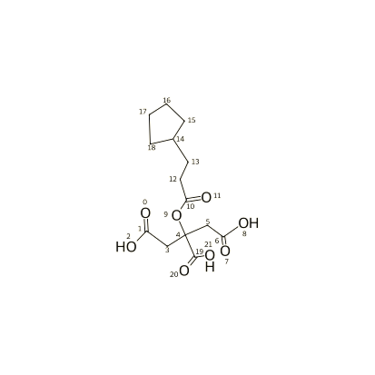 O=C(O)CC(CC(=O)O)(OC(=O)CCC1CCCC1)C(=O)O